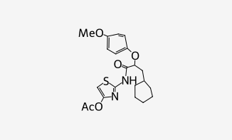 COc1ccc(OC(CC2CCCCC2)C(=O)Nc2nc(OC(C)=O)cs2)cc1